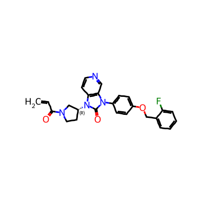 C=CC(=O)N1CC[C@@H](n2c(=O)n(-c3ccc(OCc4ccccc4F)cc3)c3cnccc32)C1